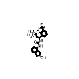 CC1(C)C[C@@H](NC(=O)Nc2cccc3c2C[C@H](O)C3)c2cccc(C(F)(F)F)c2O1